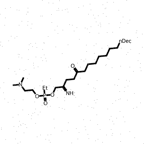 CCCCCCCCCCCCCCCCCC(=O)CCC(=N)COP(=O)(CC)OCCN(C)C